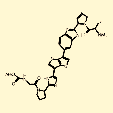 CNC(C(=O)N1CC=CC1c1nc2ccc(-c3csc4c(-c5cnc(C6CCCN6C(=O)CNC(=O)OC)[nH]5)csc34)cc2[nH]1)C(C)C